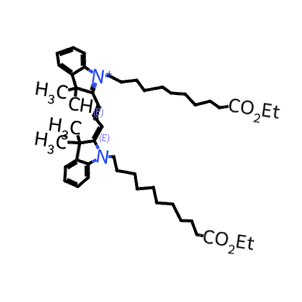 CCOC(=O)CCCCCCCCCCN1/C(=C/C=C/C2=[N+](CCCCCCCCCCC(=O)OCC)c3ccccc3C2(C)C)C(C)(C)c2ccccc21